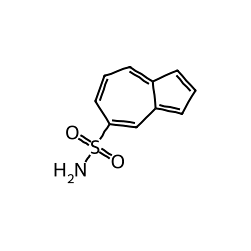 NS(=O)(=O)c1cccc2cccc-2c1